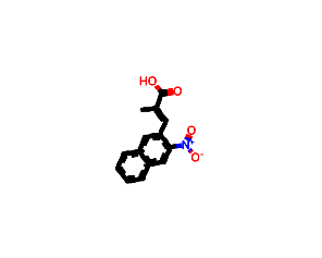 CC(=Cc1cc2ccccc2cc1[N+](=O)[O-])C(=O)O